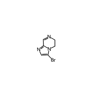 Brc1cnc2n1CCN=C2